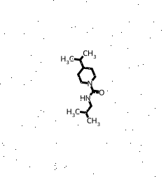 CC(C)CNC(=O)N1CCC(C(C)C)CC1